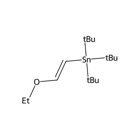 CCOC=[CH][Sn]([C](C)(C)C)([C](C)(C)C)[C](C)(C)C